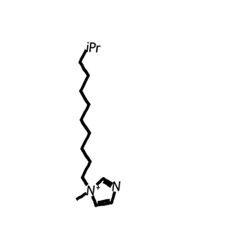 CC(C)CCCCCCCCC[N+]1(C)C=CN=C1